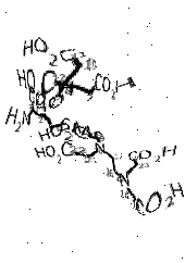 CSCCC(N)C(=O)O.O=C(O)CC(O)(CC(=O)O)C(=O)O.O=C(O)CN(CCN(CC(=O)O)CC(=O)O)CC(=O)O